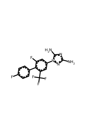 Nc1nc(N)n(-c2cc(F)c(-c3ccc(F)cc3)c(C(F)(F)F)c2)n1